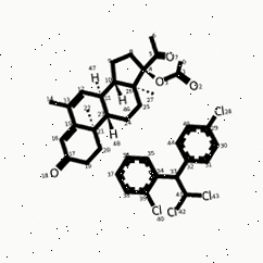 CC(=O)O[C@]1(C(C)=O)CC[C@H]2[C@@H]3C=C(C)C4=CC(=O)CC[C@]4(C)[C@H]3CC[C@@]21C.Clc1ccc(C(c2ccccc2Cl)C(Cl)Cl)cc1